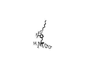 CCCCCCCOc1ccc(CCC(C)(N)COCOC)cc1C(F)(F)F